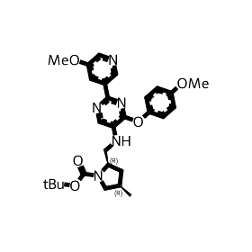 COc1ccc(Oc2nc(-c3cncc(OC)c3)ncc2NC[C@H]2C[C@@H](C)CN2C(=O)OC(C)(C)C)cc1